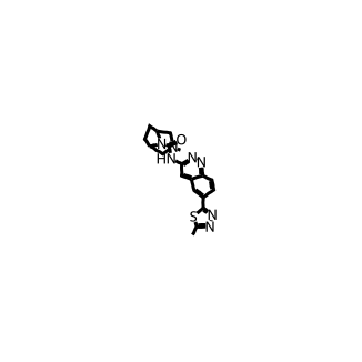 Cc1nnc(-c2ccc3nnc(NC(=O)N4C5CCC4CN(C)C5)cc3c2)s1